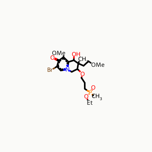 CCOP(C)(=O)CCCOC1Cn2cc(Br)c(=O)c(OC)c2C(O)C1(C)CCOC